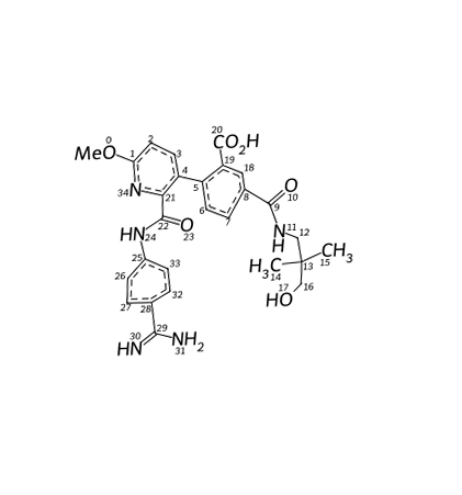 COc1ccc(-c2ccc(C(=O)NCC(C)(C)CO)cc2C(=O)O)c(C(=O)Nc2ccc(C(=N)N)cc2)n1